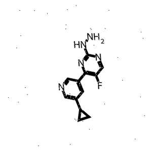 NNc1ncc(F)c(-c2cncc(C3CC3)c2)n1